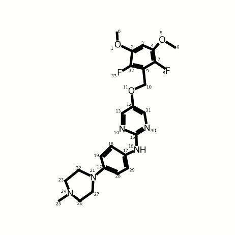 COc1cc(OC)c(F)c(COc2cnc(Nc3ccc(N4CCN(C)CC4)cc3)nc2)c1F